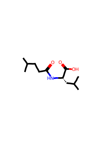 CC(C)CCC(=O)N[C@@H](CC(C)C)C(=O)O